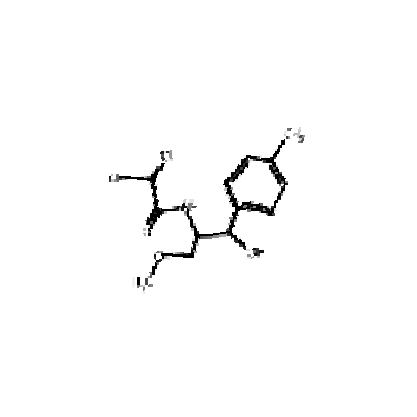 COCC(NC(=O)C(Cl)Cl)C(O)c1ccc(C)cc1